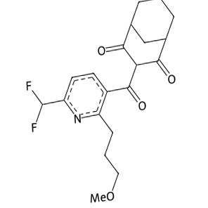 COCCCc1nc(C(F)F)ccc1C(=O)C1C(=O)C2CCCC(C2)C1=O